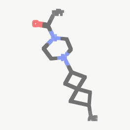 CCCC(=O)N1CCN(C2CC3(CC(C(C)=O)C3)C2)CC1